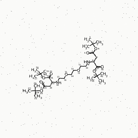 CC(C)(C)OC(=O)CC(NCCOCCOCCNC(CC(=O)OC(C)(C)C)C(=O)OC(C)(C)C)C(=O)OC(C)(C)C